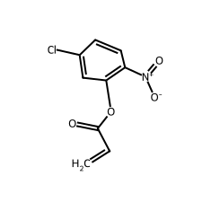 C=CC(=O)Oc1cc(Cl)ccc1[N+](=O)[O-]